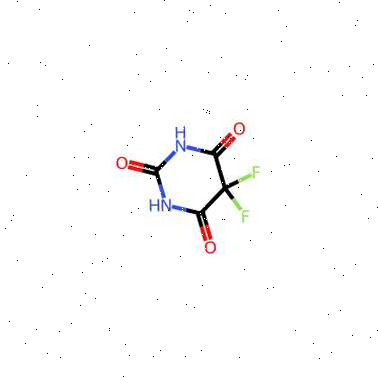 O=C1NC(=O)C(F)(F)C(=O)N1